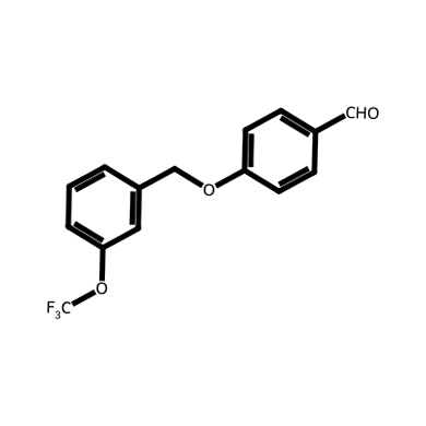 O=Cc1ccc(OCc2cccc(OC(F)(F)F)c2)cc1